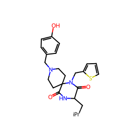 CC(C)CC1NC(=O)C2(CCN(Cc3ccc(O)cc3)CC2)N(Cc2cccs2)C1=O